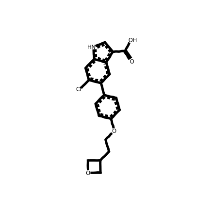 O=C(O)c1c[nH]c2cc(Cl)c(-c3ccc(OCCC4COC4)cc3)cc12